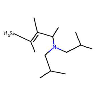 CC([SiH3])=C(C)C(C)N(CC(C)C)CC(C)C